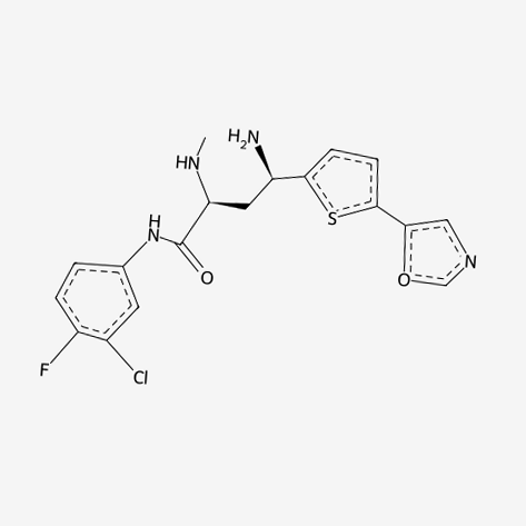 CN[C@@H](C[C@@H](N)c1ccc(-c2cnco2)s1)C(=O)Nc1ccc(F)c(Cl)c1